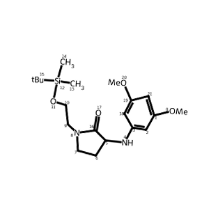 COc1cc(NC2CCN(CCO[Si](C)(C)C(C)(C)C)C2=O)cc(OC)c1